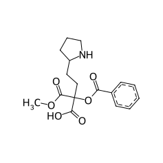 COC(=O)C(CCC1CCCN1)(OC(=O)c1ccccc1)C(=O)O